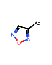 CC(=O)c1cnon1